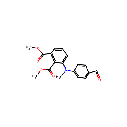 COC(=O)c1cccc(N(C)c2ccc(C=O)cc2)c1C(=O)OC